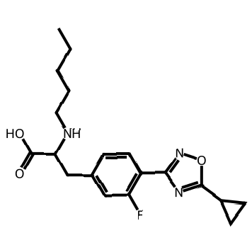 CCCCCNC(Cc1ccc(-c2noc(C3CC3)n2)c(F)c1)C(=O)O